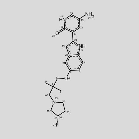 CC(C)(COc1ccc2[nH]c(-c3cc(N)c[nH]c3=O)cc2c1)CN1CC[C@H](F)C1